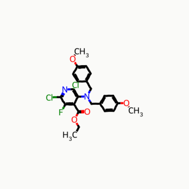 CCOC(=O)c1c(F)c(Cl)nc(Cl)c1N(Cc1ccc(OC)cc1)Cc1ccc(OC)cc1